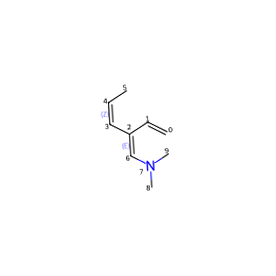 C=CC(/C=C\C)=C\N(C)C